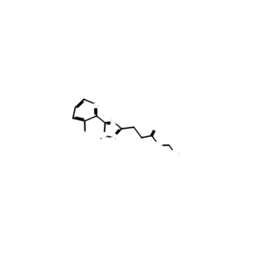 CCOC(=O)CCc1nc(-c2ncccc2Cl)n(C)n1